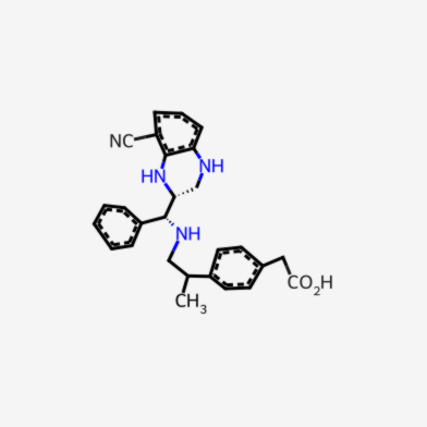 CC(CN[C@H](c1ccccc1)[C@H]1CNc2cccc(C#N)c2N1)c1ccc(CC(=O)O)cc1